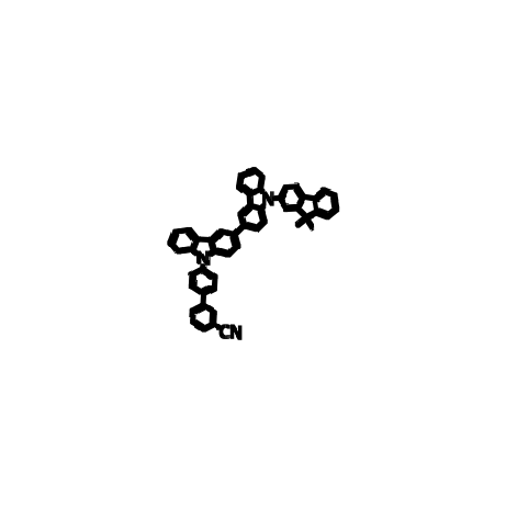 CC1(C)c2ccccc2-c2ccc(-n3c4ccccc4c4cc(-c5ccc6c(c5)c5ccccc5n6-c5ccc(-c6cccc(C#N)c6)cc5)ccc43)cc21